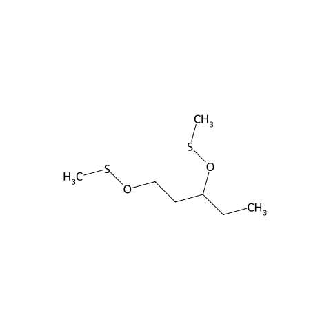 CCC(CCOSC)OSC